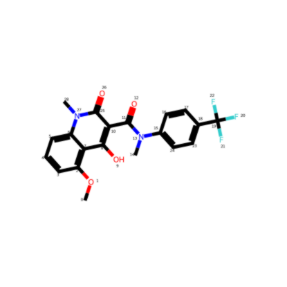 COc1cccc2c1c(O)c(C(=O)N(C)c1ccc(C(F)(F)F)cc1)c(=O)n2C